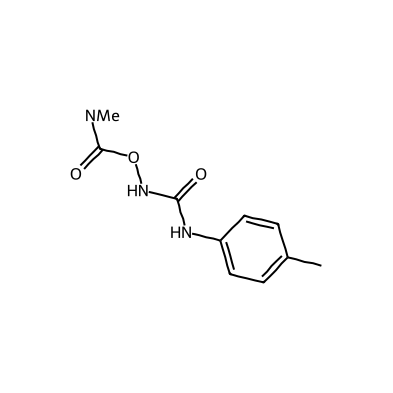 CNC(=O)ONC(=O)Nc1ccc(C)cc1